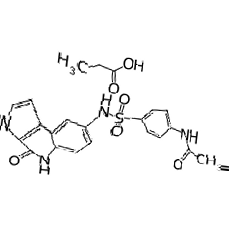 CC(=O)Nc1ccc(S(=O)(=O)Nc2ccc3[nH]c(=O)c4[nH]ccc4c3c2)cc1.CCC(=O)O